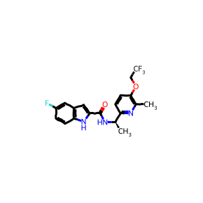 Cc1nc([C@@H](C)NC(=O)c2cc3cc(F)ccc3[nH]2)ccc1OCC(F)(F)F